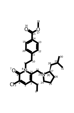 CCc1cc(Cl)c(=O)n(CCc2ccc(C(=O)OC)cc2)c1CN1CCC[C@@H]1CC(C)C